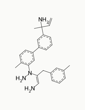 C=CC(C)(N)c1cccc(-c2ccc(C)c(N(N)/C(=C\N)Cc3cccc(C)c3)c2)c1